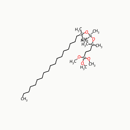 CCCCCCCCCCCCCCCCCC[Si](C)(C)O[Si](C)(C)O[Si](C)(C)CC[Si](OC)(OC)OC